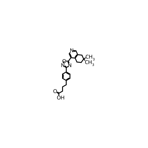 CC1(C)CCc2c(cncc2-c2nc(-c3ccc(CCCC(=O)O)cc3)no2)C1